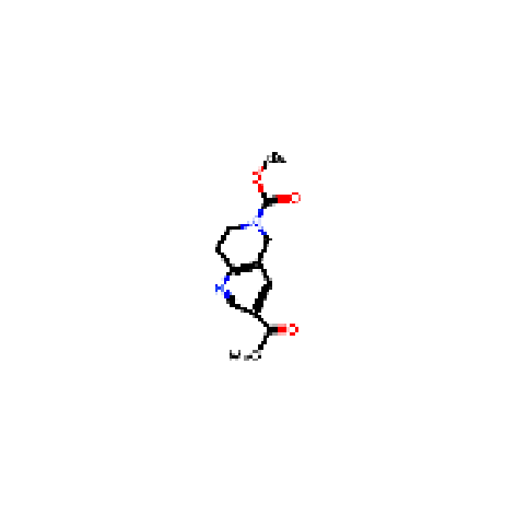 COC(=O)c1cnc2c(c1)CN(C(=O)OC(C)(C)C)CC2